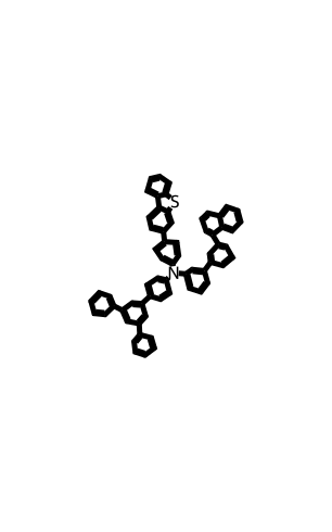 c1ccc(-c2cc(-c3ccccc3)cc(-c3ccc(N(c4ccc(-c5ccc6c(c5)sc5ccccc56)cc4)c4cccc(-c5cccc(-c6cccc7ccccc67)c5)c4)cc3)c2)cc1